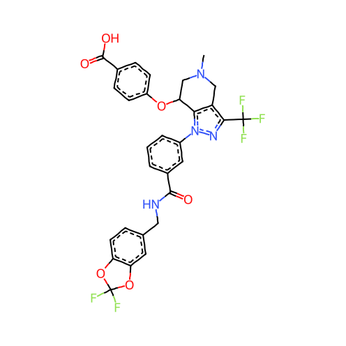 CN1Cc2c(C(F)(F)F)nn(-c3cccc(C(=O)NCc4ccc5c(c4)OC(F)(F)O5)c3)c2C(Oc2ccc(C(=O)O)cc2)C1